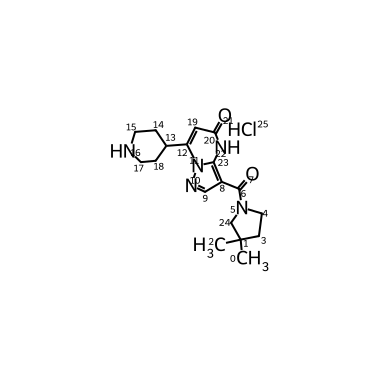 CC1(C)CCN(C(=O)c2cnn3c(C4CCNCC4)cc(=O)[nH]c23)C1.Cl